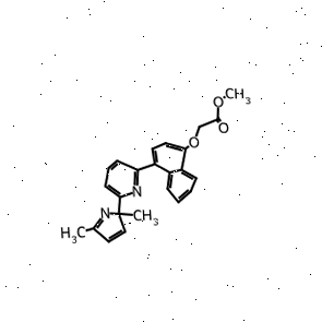 COC(=O)COc1ccc(-c2cccc(C3(C)C=CC(C)=N3)n2)c2ccccc12